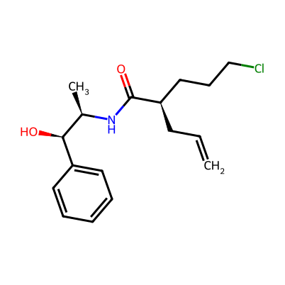 C=CC[C@H](CCCCl)C(=O)N[C@H](C)[C@H](O)c1ccccc1